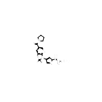 CN(C=O)NC1C=C(N2c3ncc(C(=O)N4CCCC4)cc3OC2(F)F)C=N1